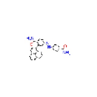 NC(=O)c1ccc(N=Nc2ccc(C(N)=O)c(-c3ccc4cccc5c4c3C=CC5)c2)cc1